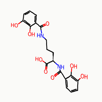 O=C(NCCC[C@@H](NC(=O)c1cccc(O)c1O)C(=O)O)c1cccc(O)c1O